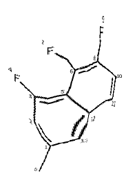 Cc1cc(F)c2c(F)c(F)ccc2c1